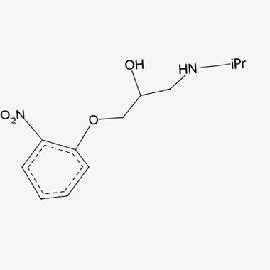 CC(C)NCC(O)COc1ccccc1[N+](=O)[O-]